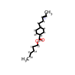 C/C=C/CCC1CCC(C(=O)OCCCCCC)CC1